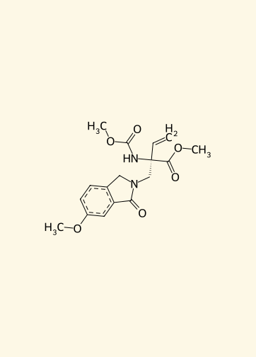 C=C[C@](CN1Cc2ccc(OC)cc2C1=O)(NC(=O)OC)C(=O)OC